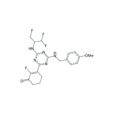 COc1ccc(CNc2nc(NC(CF)C(F)F)nc(C3=C(F)C(=O)CCC3)n2)cc1